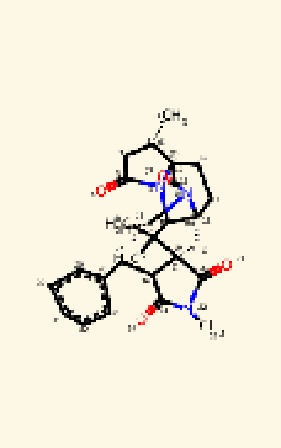 C[C@H]1CC(=O)N2C3C(C)(C)[C@@]4(C[C@]35CC[C@]12C(=O)N5C)C(=O)N(C)C(=O)C4Cc1ccccc1